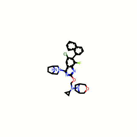 Fc1c(-c2cccc3ccccc23)c(Cl)cc2c(N3CC4CCC(C3)N4)nc(OCN(C3CC3)N3C4CCC3COC4)nc12